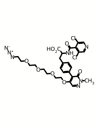 Cn1ncc(OCCOCCOCCOCCN=[N+]=[N-])c(-c2ccc(CC(NC(=O)c3c(Cl)cncc3Cl)C(=O)O)cc2)c1=O